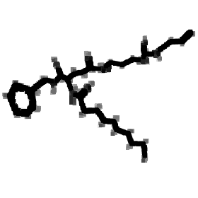 C=CCOC(=O)NCCCNC(=O)CCC(NC(=O)CCCCCCCCC)C(=O)OCc1ccccc1